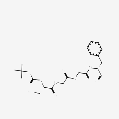 CC(C)(C)OC(=O)N[C@@H](CO)C(=O)NCC(=O)NCC(=O)N[C@H](C=O)Cc1ccccc1